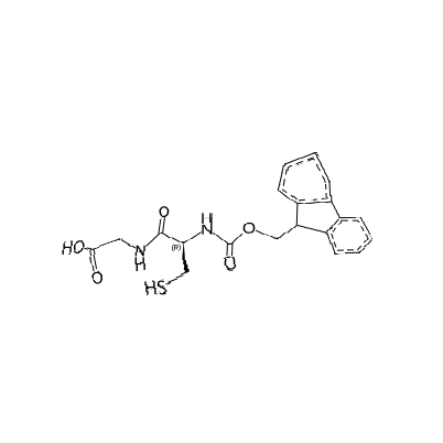 O=C(O)CNC(=O)[C@H](CS)NC(=O)OCC1c2ccccc2-c2ccccc21